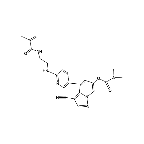 C=C(C)C(=O)NCCNc1ccc(-c2cc(OC(=O)N(C)C)cn3ncc(C#N)c23)cn1